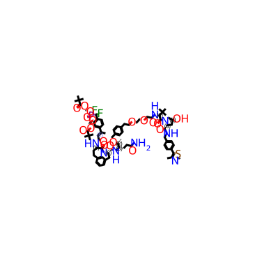 C/C(=C\C(=O)N[C@H]1CCc2cccc3c2N(C1=O)[C@H](C(=O)N[C@@H](CCC(N)=O)[C@@H](C)OCc1ccc(CCOCCOCC(=O)N[C@H](C(=O)N2C[C@H](O)C[C@H]2C(=O)NCc2ccc(-c4scnc4C)cc2)C(C)(C)C)cc1)C3)c1ccc(C(F)(F)P(=O)(OCOC(=O)C(C)(C)C)OCOC(=O)C(C)(C)C)cc1